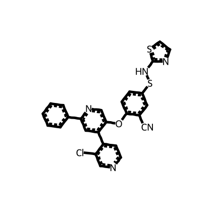 N#Cc1cc(SNc2nccs2)ccc1Oc1cnc(-c2ccccc2)cc1-c1ccncc1Cl